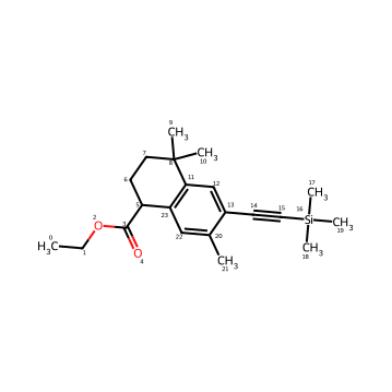 CCOC(=O)C1CCC(C)(C)c2cc(C#C[Si](C)(C)C)c(C)cc21